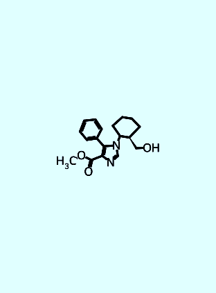 COC(=O)c1ncn(C2CCCC[C@H]2CO)c1-c1ccccc1